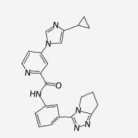 O=C(Nc1cccc(-c2nnc3n2CCC3)c1)c1cc(-n2cnc(C3CC3)c2)ccn1